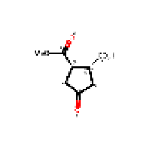 COC(=O)[C@@H]1CC(=O)C[C@H]1C(=O)O